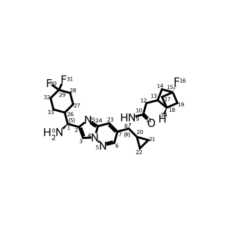 N[C@H](c1cn2ncc([C@H](NC(=O)CC3C[C@]4(F)C[C@@H]3C4)C3CC3)cc2n1)C1CCC(F)(F)CC1